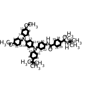 COc1ccc(N(c2ccc(OC)cc2)c2ccc(N(c3ccc(NC(=O)c4ccc(C(=O)NC(C)(C)C)cc4)cc3)c3ccc(C(C)(C)C)cc3)cc2)cc1